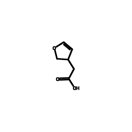 O=C(O)CC1C=COC1